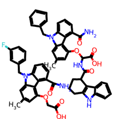 Cc1cc(OC(NC(=O)C2CCCc3[nH]c4ccccc4c32)C(=O)O)c2c3c(C(N)=O)cccc3n(Cc3ccccc3)c2c1.Cc1cc(OCC(=O)O)c2c3c(C(N)=O)cccc3n(Cc3cccc(F)c3)c2c1